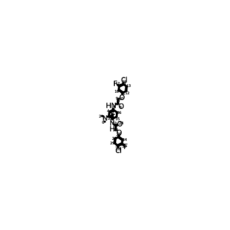 CN(C)C1CC2(NC(=O)COc3ccc(Cl)c(F)c3)CCC1(NC(=O)COc1ccc(Cl)c(F)c1)CC2